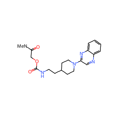 CNC(=O)COC(=O)NCCC1CCN(c2cnc3ccccc3n2)CC1